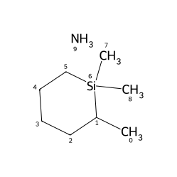 CC1CCCC[Si]1(C)C.N